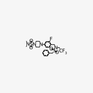 CN(C)S(=O)(=O)N1CCN(c2ccc(CN(CC(F)(F)F)S(=O)(=O)Cc3ccccc3)c(F)c2)CC1